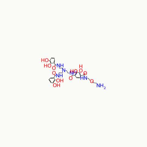 NCCOCCNC(=O)c1ccc(C(=O)NCCN(CCNC(=O)c2cccc(O)c2O)CCNC(=O)c2cccc(O)c2O)c(O)c1O